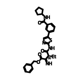 CC[C@@H](C(=N)C(=O)OCc1ccccc1)C(=O)Nc1ncc(-c2cccc(C(=O)NC3CCCC3)c2)s1